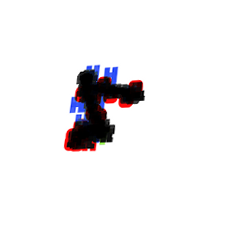 CCC1(O)C(=O)OCc2c1cc1n(c2=O)Cc2c-1nc1cc(F)c(C)c3c1c2[C@@H](NC(=O)COCCNC(=O)CNC(=O)[C@H](Cc1ccccc1)NC(=O)CNC(=O)CNC(=O)CCCCCN1C(=O)CC(C)C1=O)CC3